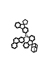 c1ccc2c(c1)-c1cc(N(c3ccc4c(ccc5ccccc54)c3)c3cccc4c3-c3ccccc3C43C4CCC5CC(C4)CC3C5)ccc1C21CCCC1